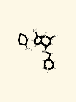 N[C@H]1CCCC[C@@H]1c1sc2c(NCc3ccncc3)cc(Cl)nc2c1Br